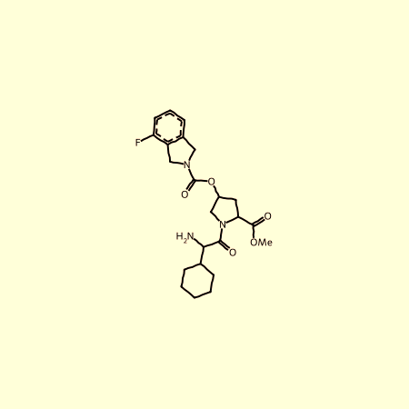 COC(=O)C1CC(OC(=O)N2Cc3cccc(F)c3C2)CN1C(=O)C(N)C1CCCCC1